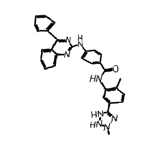 Cc1ccc(C2=NN(C)NN2)cc1NC(=O)c1ccc(Nc2nc(-c3ccccc3)c3ccccc3n2)cc1